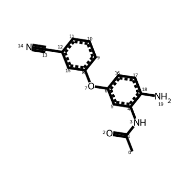 CC(=O)Nc1cc(Oc2cccc(C#N)c2)ccc1N